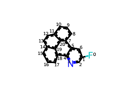 Fc1cnc2c(c1)c1cccc3ccc4cccc2c4c31